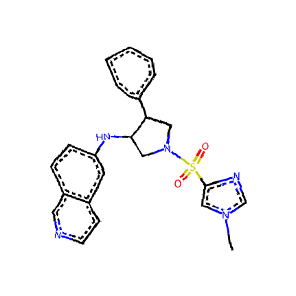 Cn1cnc(S(=O)(=O)N2CC(Nc3ccc4cnccc4c3)C(c3ccccc3)C2)c1